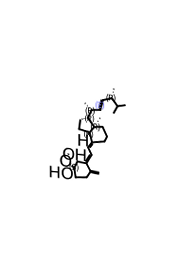 C=C1CC[C@](O)(OO)CC1=CC=C1CCC[C@]2(C)[C@@H]([C@H](C)/C=C/[C@H](C)C(C)C)CC[C@@H]12